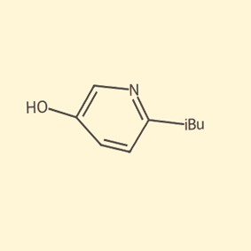 CCC(C)c1ccc(O)cn1